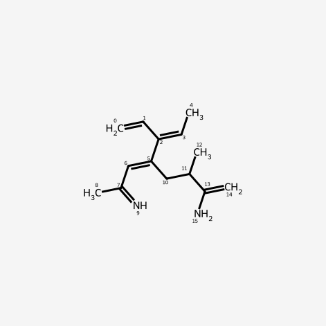 C=CC(=C\C)/C(=C/C(C)=N)CC(C)C(=C)N